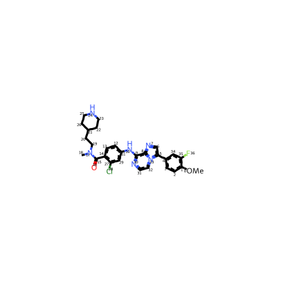 COc1ccc(-c2cnc3c(Nc4ccc(C(=O)N(C)CCC5CCNCC5)c(Cl)c4)nccn23)cc1F